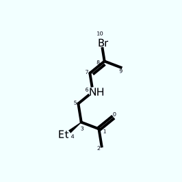 C=C(C)[C@@H](CC)CN/C=C(\C)Br